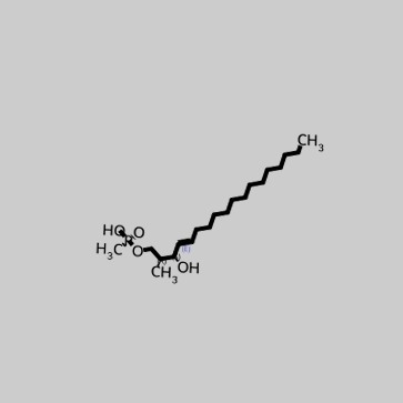 CCCCCCCCCCCCC/C=C/[C@H](O)[C@H](C)COP(C)(=O)O